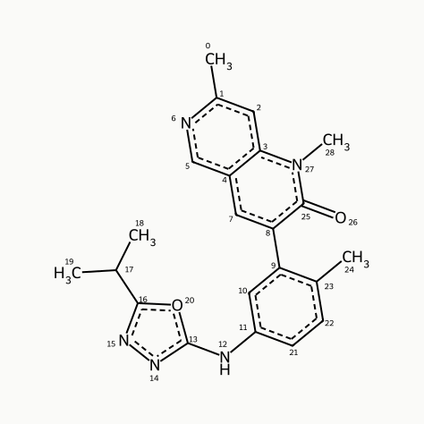 Cc1cc2c(cn1)cc(-c1cc(Nc3nnc(C(C)C)o3)ccc1C)c(=O)n2C